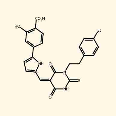 CCc1ccc(CCN2C(=O)/C(=C\c3ccc(-c4ccc(C(=O)O)c(O)c4)[nH]3)C(=O)NC2=S)cc1